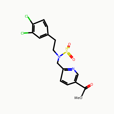 COC(=O)c1ccc(CN(CCc2ccc(Cl)c(Cl)c2)[SH](=O)=O)nc1